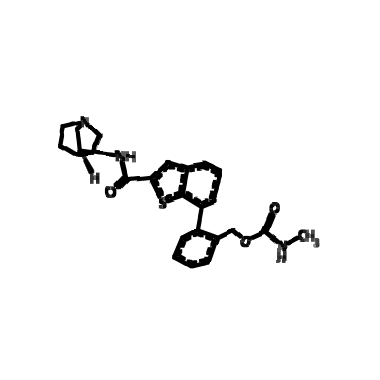 CNC(=O)OCc1ccccc1-c1cccc2cc(C(=O)N[C@H]3CN4CCC3CC4)sc12